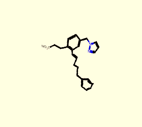 O=C(O)CCc1ccc(Cn2cccn2)cc1C=CCCCc1ccccc1